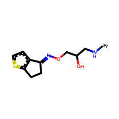 CC(C)NCC(O)CO/N=C1\CCc2sccc21